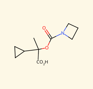 CC(OC(=O)N1CCC1)(C(=O)O)C1CC1